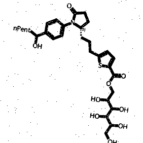 CCCCCC(O)c1ccc(N2C(=O)CC[C@@H]2CCCc2ccc(C(=O)OCC(O)C(O)C(O)C(O)CO)s2)cc1